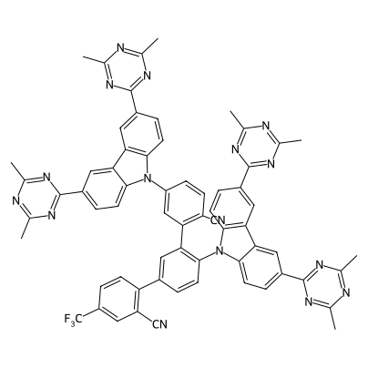 Cc1nc(C)nc(-c2ccc3c(c2)c2cc(-c4nc(C)nc(C)n4)ccc2n3-c2ccc(C#N)c(-c3cc(-c4ccc(C(F)(F)F)cc4C#N)ccc3-n3c4ccc(-c5nc(C)nc(C)n5)cc4c4cc(-c5nc(C)nc(C)n5)ccc43)c2)n1